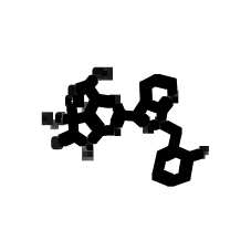 CC1(C)C(=O)Nc2nc(-c3nn(Cc4ccccc4F)c4ncccc34)nc(C(=O)O)c21